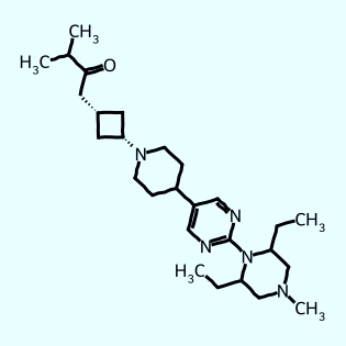 CCC1CN(C)CC(CC)N1c1ncc(C2CCN([C@H]3C[C@@H](CC(=O)C(C)C)C3)CC2)cn1